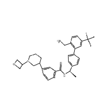 C[C@@H](NC(=O)c1cc(C2CCCN(C3COC3)C2)ccn1)c1ccc(-c2cc(C(F)(F)F)ccc2CN)cc1